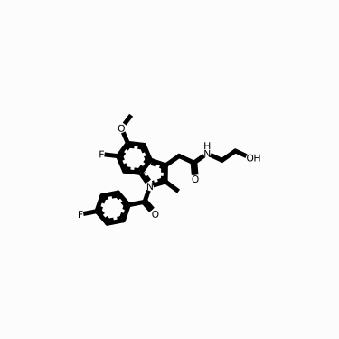 COc1cc2c(CC(=O)NCCO)c(C)n(C(=O)c3ccc(F)cc3)c2cc1F